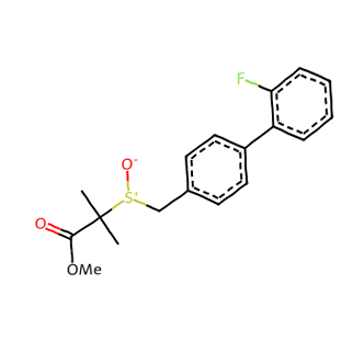 COC(=O)C(C)(C)[S+]([O-])Cc1ccc(-c2ccccc2F)cc1